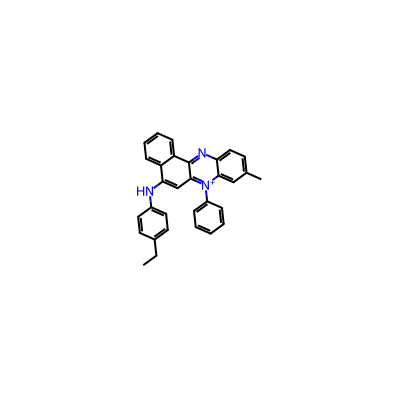 CCc1ccc(Nc2cc3c(nc4ccc(C)cc4[n+]3-c3ccccc3)c3ccccc23)cc1